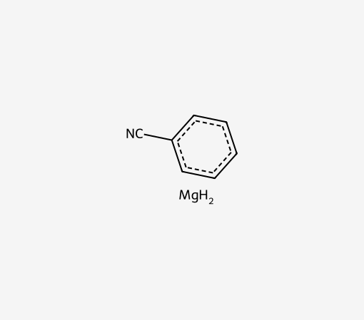 N#Cc1ccccc1.[MgH2]